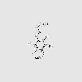 COCc1c(F)c(F)c(CCCC(=O)O)c(F)c1F